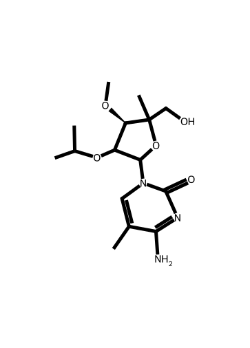 CO[C@@H]1C(OC(C)C)C(n2cc(C)c(N)nc2=O)OC1(C)CO